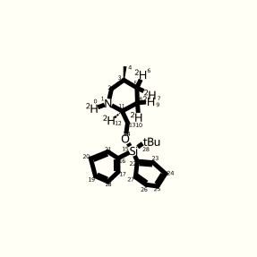 [2H]N1C[C@@H](C)C([2H])([2H])C([2H])([2H])[C@@]1([2H])CO[Si](c1ccccc1)(c1ccccc1)C(C)(C)C